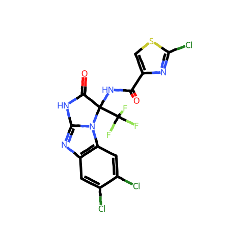 O=C(NC1(C(F)(F)F)C(=O)Nc2nc3cc(Cl)c(Cl)cc3n21)c1csc(Cl)n1